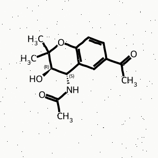 CC(=O)N[C@H]1c2cc(C(C)=O)ccc2OC(C)(C)[C@@H]1O